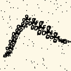 O=P([O-])([O-])F.O=P([O-])([O-])F.O=P([O-])([O-])F.O=P([O-])([O-])F.O=P([O-])([O-])F.O=P([O-])([O-])F.O=P([O-])([O-])F.O=P([O-])([O-])F.O=P([O-])([O-])F.[Cr+3].[Cr+3].[Na+].[Na+].[V+5].[V+5]